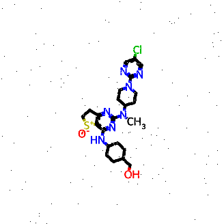 CN(c1nc2c(c(NC3CCC(CO)CC3)n1)[S@+]([O-])CC2)C1CCN(c2ncc(Cl)cn2)CC1